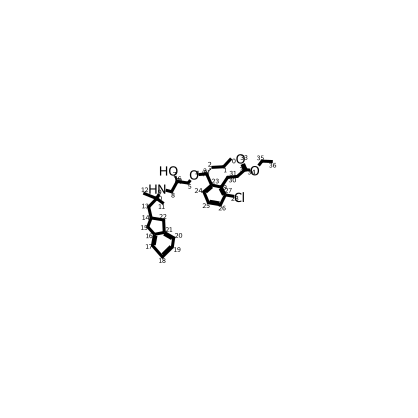 CCC[C@@H](OC[C@H](O)CNC(C)(C)CC1Cc2ccccc2C1)c1cccc(Cl)c1CCC(=O)OCC